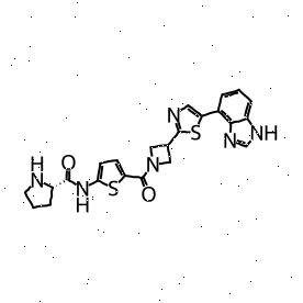 O=C(Nc1ccc(C(=O)N2CC(c3ncc(-c4cccc5[nH]cnc45)s3)C2)s1)[C@@H]1CCCN1